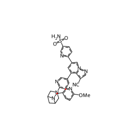 COc1ccc(CN2C3CC2CN(c2ccc(-c4cc(-c5ccc(S(N)(=O)=O)cn5)cn5ncc(C#N)c45)cn2)C3)cn1